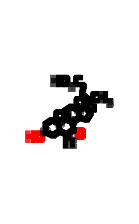 CC[C@@H]1C(=O)C2C3CCC([C@H](C)CCC(=O)O)[C@@]3(C)CCC2[C@@]2(C)CC[C@@H](O)CC12